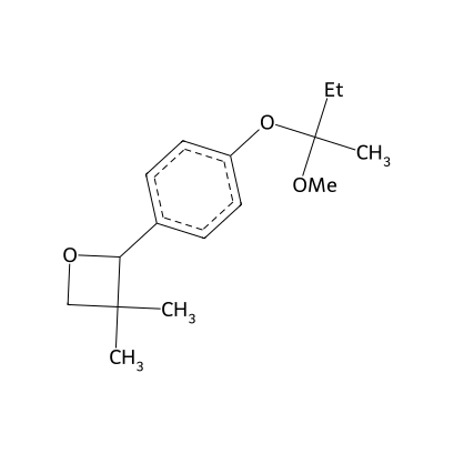 CCC(C)(OC)Oc1ccc(C2OCC2(C)C)cc1